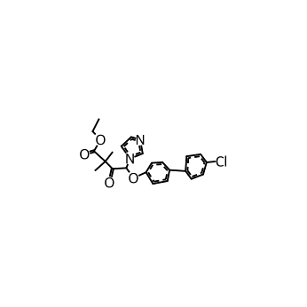 CCOC(=O)C(C)(C)C(=O)C(Oc1ccc(-c2ccc(Cl)cc2)cc1)n1ccnc1